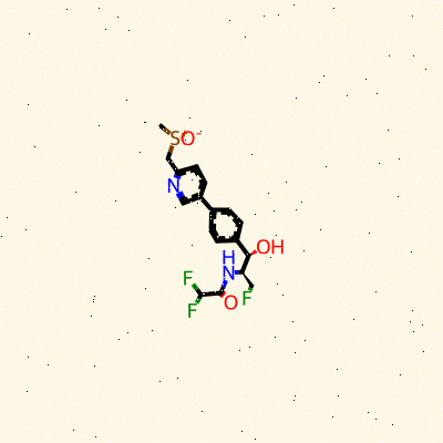 C[S+]([O-])Cc1ccc(-c2ccc([C@@H](O)[C@@H](CF)NC(=O)C(F)F)cc2)cn1